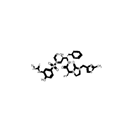 CCNC(=O)Nc1cc(S(=O)(=O)N(CC(C)C)C[C@@H](O)[C@H](Cc2ccccc2)NC(=O)[C@H](C(C)C)N2CCN(Cc3csc(C)n3)C2=O)ccc1O